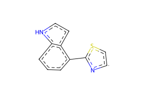 [c]1csc(-c2cccc3[nH]ccc23)n1